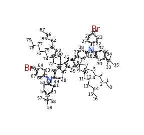 CCCCCCCCC1(CCCCCCCC)c2cc(N(c3ccc(Br)cc3)c3ccc(C(C)(C)C)cc3)ccc2-c2cc3c(cc21)C1C=CC(N(c2ccc(C(C)(C)C)cc2)C2C=CC(Br)=CC2)=CC1C3(CCCCCCCC)CCCCCCCC